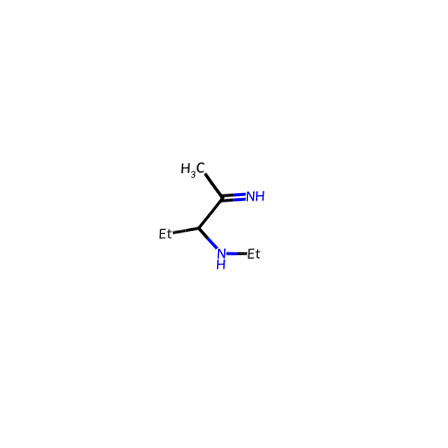 CCNC(CC)C(C)=N